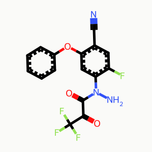 N#Cc1cc(F)c(N(N)C(=O)C(=O)C(F)(F)F)cc1Oc1ccccc1